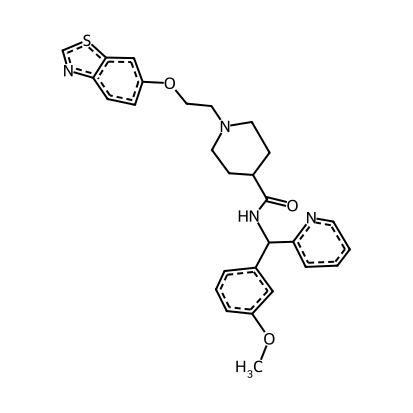 COc1cccc(C(NC(=O)C2CCN(CCOc3ccc4ncsc4c3)CC2)c2ccccn2)c1